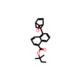 CCC(C)(C)OC(=O)c1cccc2c(C3CC4C=CC3C4=O)cccc12